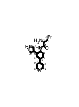 CC(C)C[C@@H](N)C(=O)Nc1ccc(-c2ccncc2)cc1-c1cn[nH]c1